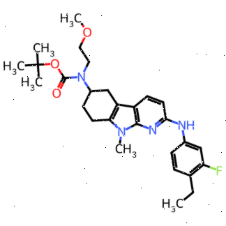 CCc1ccc(Nc2ccc3c4c(n(C)c3n2)CCC(N(CCOC)C(=O)OC(C)(C)C)C4)cc1F